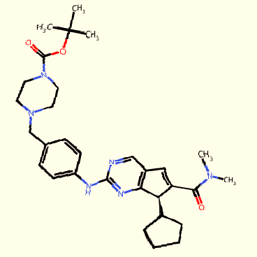 CN(C)C(=O)C1=Cc2cnc(Nc3ccc(CN4CCN(C(=O)OC(C)(C)C)CC4)cc3)nc2[C@@H]1C1CCCC1